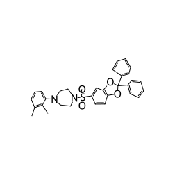 Cc1cccc(N2CCN(S(=O)(=O)c3ccc4c(c3)OC(c3ccccc3)(c3ccccc3)O4)CC2)c1C